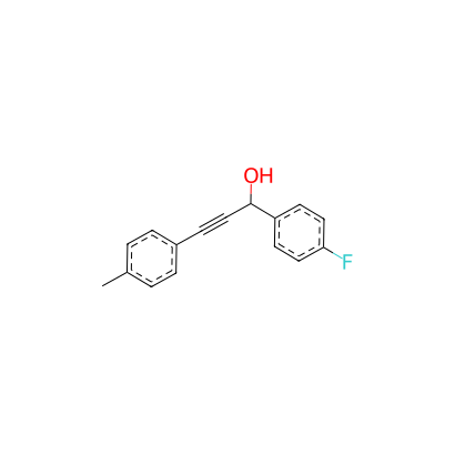 Cc1ccc(C#CC(O)c2ccc(F)cc2)cc1